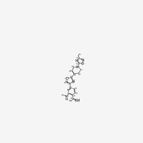 CNc1cc(-c2noc(C3CCN(c4nc(C)no4)CC3)n2)ccc1C(C)=N